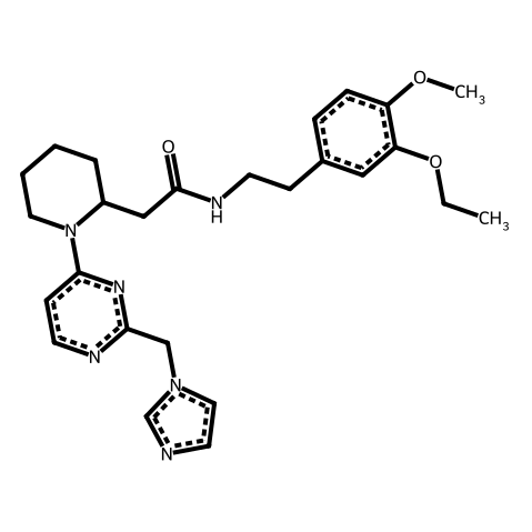 CCOc1cc(CCNC(=O)CC2CCCCN2c2ccnc(Cn3ccnc3)n2)ccc1OC